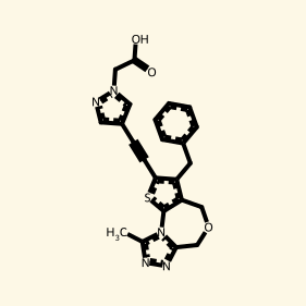 Cc1nnc2n1-c1sc(C#Cc3cnn(CC(=O)O)c3)c(Cc3ccccc3)c1COC2